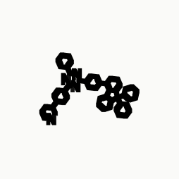 c1ccc(-c2nc(-c3ccc(-c4cccnc4)cc3)nc(-c3ccc(-c4cccc5c4-c4ccccc4C5(c4ccccc4)c4ccccc4)cc3)n2)cc1